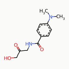 CN(C)c1ccc(C(=O)NCC(=O)CO)cc1